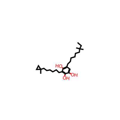 CCC(C)(C)CCCCCCc1cc(O)c(O)c(CCCCCCC2(C)CC2)c1O